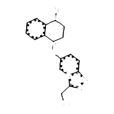 CC(C)Cc1nnc2ccc(O[C@@H]3CC[C@H](N)c4ccccc43)cn12